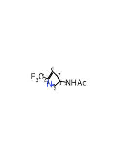 CC(=O)NC1C=NC(C(F)(F)F)=CC1